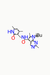 CC[C@@H](C)n1c(C)c(C(=O)NCc2c(C)cc(C)[nH]c2=O)c2cnc(C)nc21